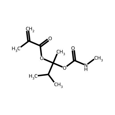 C=C(C)C(=O)OC(C)(OC(=O)NC)C(C)C